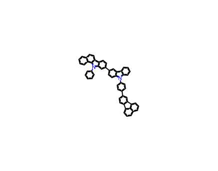 c1ccc(-n2c3cc(-c4ccc5c(c4)c4ccccc4n5-c4ccc(-c5ccc6c(c5)-c5cccc7cccc-6c57)cc4)ccc3c3ccc4ccccc4c32)cc1